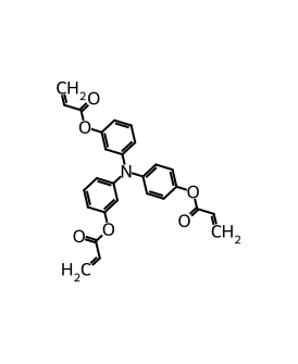 C=CC(=O)Oc1ccc(N(c2cccc(OC(=O)C=C)c2)c2cccc(OC(=O)C=C)c2)cc1